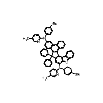 Cc1ccc(N(C2=CC=C(C(C)(C)C)CC2)c2cc3c(c4c2oc2ccccc24)-c2c(c4ccc(N(c5ccc(C(C)(C)C)cc5)c5ccc(C)cn5)cc4c4ccccc24)C3(c2ccccc2)c2ccccc2)nc1